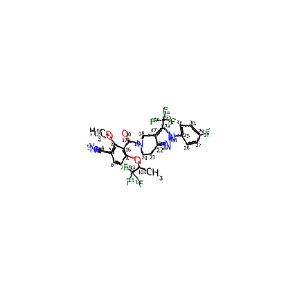 COc1c(C#N)ccc(OC(C)C(F)(F)F)c1C(=O)N1CCc2nn(-c3ccc(F)cc3)c(C(F)(F)F)c2C1